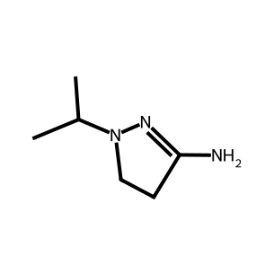 CC(C)N1CCC(N)=N1